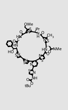 CNC(=O)C[C@@H]1NC(=O)c2csc(n2)-c2ccc(-c3nc(NC(=O)OC(C)(C)C)cs3)nc2-c2csc(n2)-c2csc(n2)[C@H]([C@@H](O)c2ccccc2)NC(=O)CNC(=O)c2nc(sc2COC)[C@@H](C(C)C)NC(=O)c2nc1sc2C